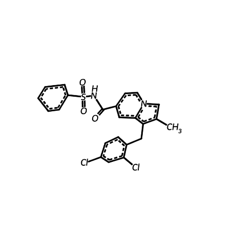 Cc1cn2ccc(C(=O)NS(=O)(=O)c3ccccc3)cc2c1Cc1ccc(Cl)cc1Cl